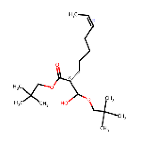 C/C=C\CCCC[C@@H](C(=O)OCC(C)(C)C)C(O)OCC(C)(C)C